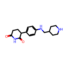 O=C1CCC(c2ccc(NCC3CCNCC3)cc2)C(=O)N1